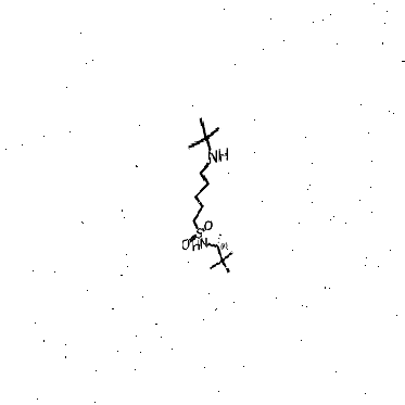 C[C@@H](NS(=O)(=O)CCCCCNC(C)(C)C)C(C)(C)C